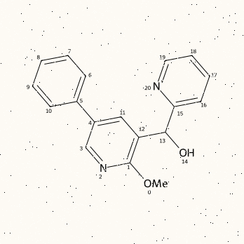 COc1ncc(-c2ccccc2)cc1C(O)c1ccccn1